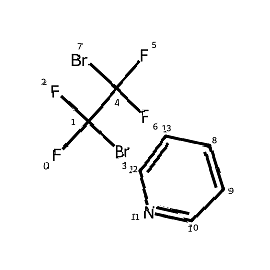 FC(F)(Br)C(F)(F)Br.c1ccncc1